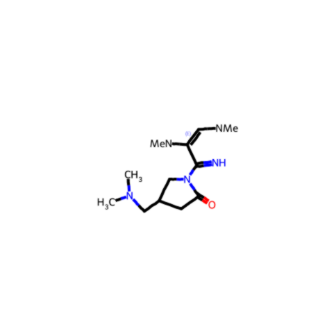 CN/C=C(/NC)C(=N)N1CC(CN(C)C)CC1=O